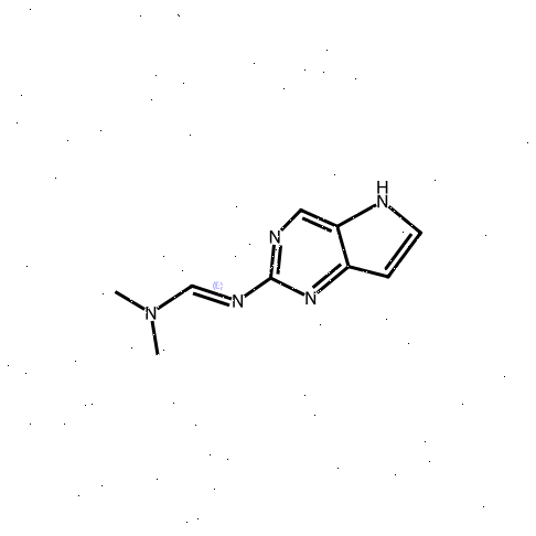 CN(C)/C=N/c1ncc2[nH]ccc2n1